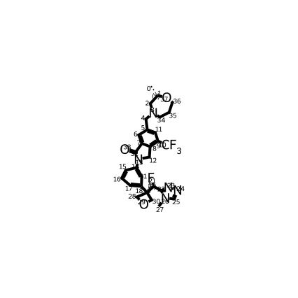 C[C@H]1CN(Cc2cc3c(c(C(F)(F)F)c2)CN(c2cccc(C4([C@@H](F)c5nncn5C)COC4)c2)C3=O)CCCO1